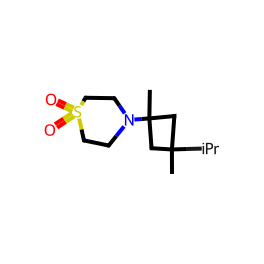 CC(C)C1(C)CC(C)(N2CCS(=O)(=O)CC2)C1